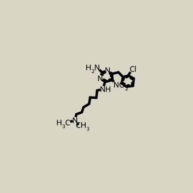 CN(C)CCCCCCCNc1nc(N)nc(Cc2ccccc2Cl)c1[N+](=O)[O-]